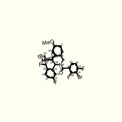 COc1ccc(CN(C(=O)c2ccc(F)c(Br)c2F)C(C(=O)NC(C)(C)C)c2cc(F)ccc2C(F)F)c(OC)c1